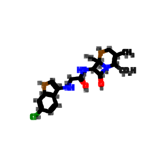 CC1=C(C(=O)O)N2C(=O)C(NC(=O)CNc3csc4cc(Cl)ccc34)[C@@H]2SC1